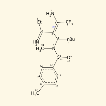 CCCCC(/C(C(=N)CC)=C(/N)C(F)(F)F)N(C)[S+]([O-])c1ccc(C)cc1